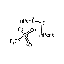 CCCCC[I+]CCCCC.O=S(=O)([O-])C(F)(F)F